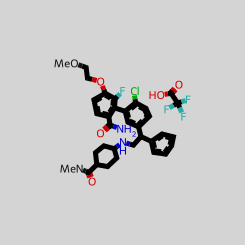 CNC(=O)C1CCC(NCC(c2ccccc2)c2ccc(Cl)c(-c3c(C(N)=O)ccc(OCCOC)c3F)c2)CC1.O=C(O)C(F)(F)F